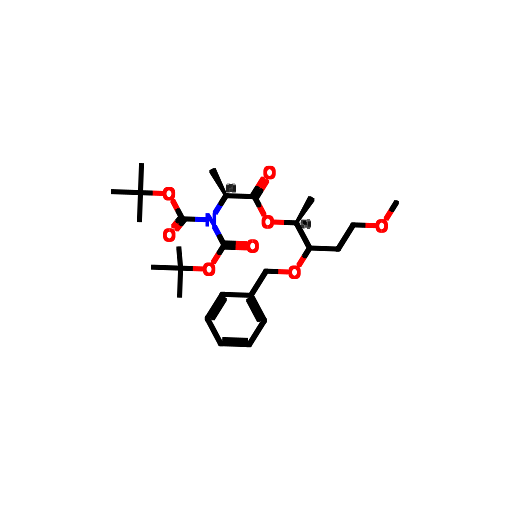 COCCC(OCc1ccccc1)[C@H](C)OC(=O)[C@H](C)N(C(=O)OC(C)(C)C)C(=O)OC(C)(C)C